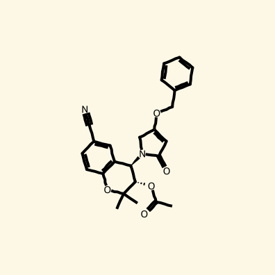 CC(=O)O[C@H]1[C@H](N2CC(OCc3ccccc3)=CC2=O)c2cc(C#N)ccc2OC1(C)C